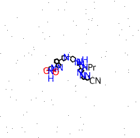 CC(C)Nc1cc(-n2ccc3cc(C#N)cnc32)ncc1-c1cn([C@H]2CC[C@H](CN3CCC(c4cccc5c(N6CCC(=O)NC6=O)cncc45)CC3)CC2)nn1